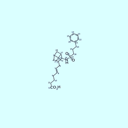 CC1(C)C2CC(CC=CCCCC(=O)O)C(NS(=O)(=O)CCCc3ccccc3)C1C2